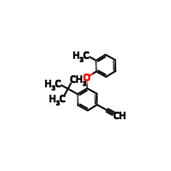 C#Cc1ccc(C(C)(C)C)c(Oc2ccccc2C)c1